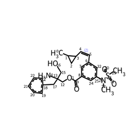 CC1CC1/C=C\c1cc(C(=O)OCC(N)(CO)Cc2ccccc2)cc(N(C)S(C)(=O)=O)c1